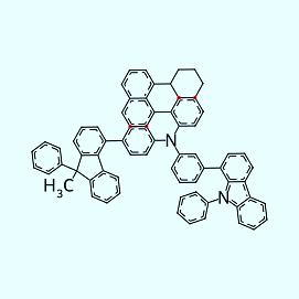 CC1(c2ccccc2)c2ccccc2-c2c(-c3ccc(N(c4cccc(-c5cccc6c7ccccc7n(-c7ccccc7)c56)c4)c4ccccc4-c4cccc5cccc(C6CCCCC6)c45)cc3)cccc21